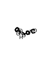 O=C(CNS(=O)(=O)c1ccccc1)c1ccc(N2CCOCC2)cc1